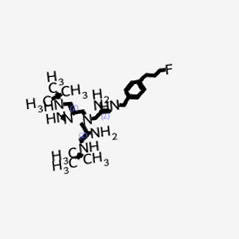 CC(C)(C)N/C=C(\N)CN(C/C(N)=C/NCc1ccc(CCCF)cc1)C/C(=C/NC(C)(C)C)N=N